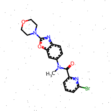 CN(C(=O)c1cccc(Br)n1)c1ccc2nc(N3CCOCC3)oc2c1